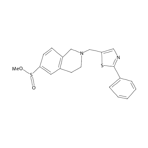 COS(=O)c1ccc2c(c1)CCN(Cc1cnc(-c3ccccc3)s1)C2